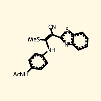 CSC(Nc1ccc(NC(C)=O)cc1)=C(C#N)c1nc2ccccc2s1